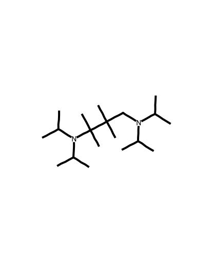 CC(C)N(CC(C)(C)C(C)(C)N(C(C)C)C(C)C)C(C)C